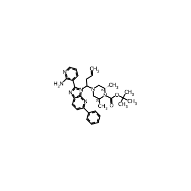 C=CCC(N1C[C@H](C)N(C(=O)OC(C)(C)C)[C@@H](C)C1)n1c(-c2cccnc2N)nc2ccc(-c3ccccc3)nc21